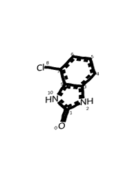 O=c1[nH]c2cccc(Cl)c2[nH]1